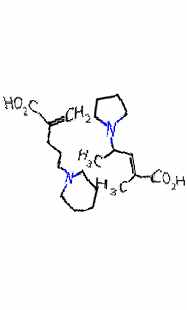 C=C(CCCN1CCCCC1)C(=O)O.CC(=CC(C)N1CCCC1)C(=O)O